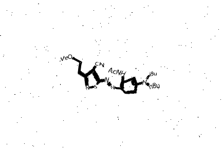 CCCCN(c1ccc(N=Nc2snc(CCOC)c2C#N)c(NC(C)=O)c1)C(C)CC